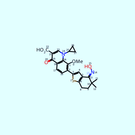 COc1c(-c2cc3c(s2)CCC(C)(C)/C3=N/O)ccc2c(=O)c(C(=O)O)cn(C3CC3)c12